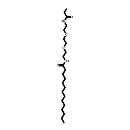 CCCCCCCCCCCCCC(=O)NCCOCCOCCNC(=O)CI